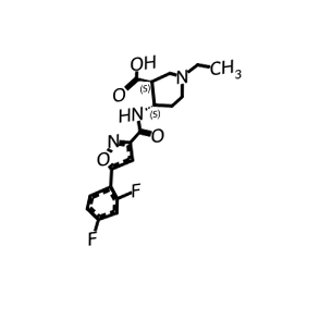 CCN1CC[C@H](NC(=O)c2cc(-c3ccc(F)cc3F)on2)[C@@H](C(=O)O)C1